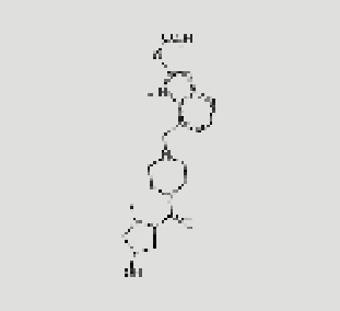 CN1C[C@H](O)C[C@@H]1C(=O)N1CCN(Cc2cccc3cc(OC(=O)O)n(C)c23)CC1